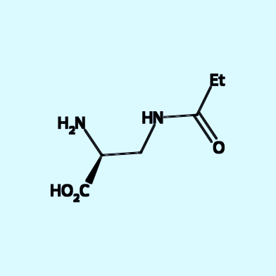 CCC(=O)NC[C@H](N)C(=O)O